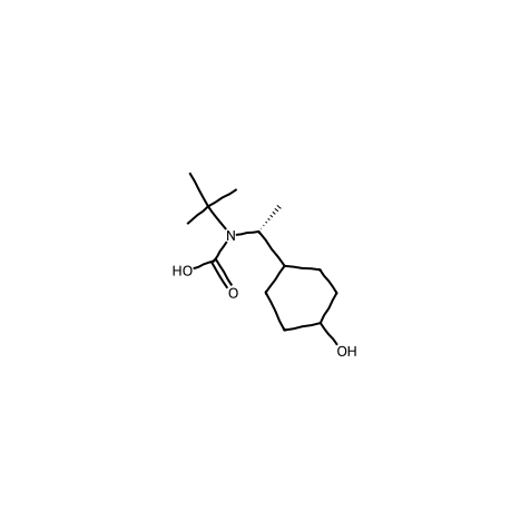 C[C@H](C1CCC(O)CC1)N(C(=O)O)C(C)(C)C